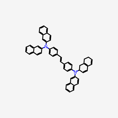 C1=CC2=C(CC1)CC(N(c1ccc(/C=C/c3ccc(N(c4ccc5ccccc5c4)c4ccc5ccccc5c4)cc3)cc1)c1ccc3ccccc3c1)C=C2